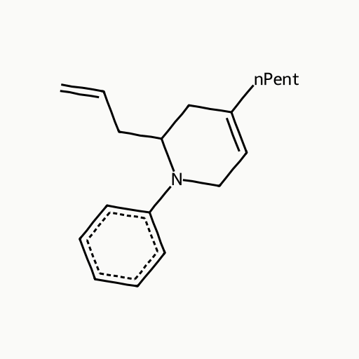 C=CCC1CC(CCCCC)=CCN1c1ccccc1